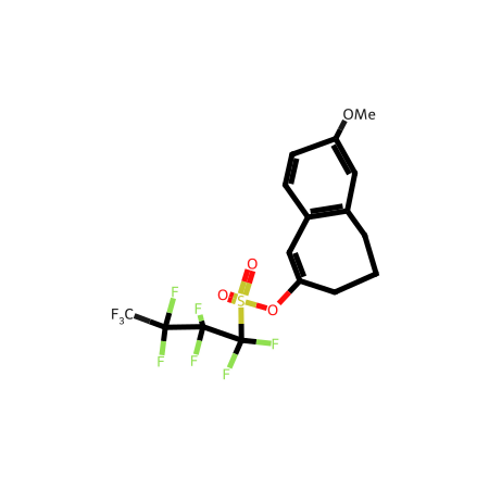 COc1ccc2c(c1)CCCC(OS(=O)(=O)C(F)(F)C(F)(F)C(F)(F)C(F)(F)F)=C2